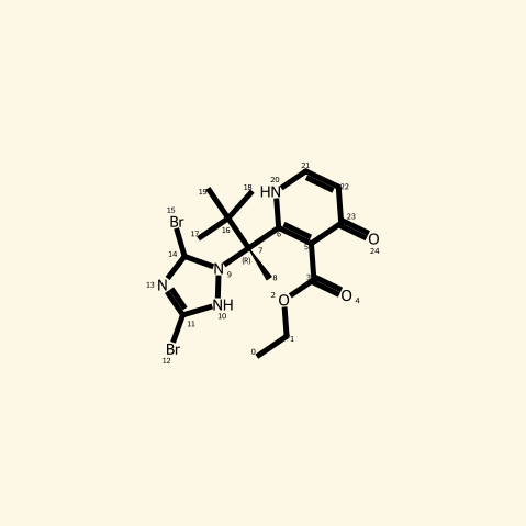 CCOC(=O)c1c([C@](C)(N2NC(Br)=NC2Br)C(C)(C)C)[nH]ccc1=O